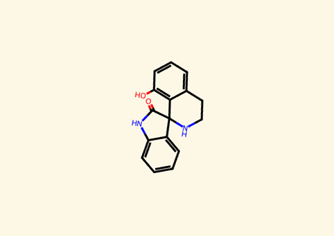 O=C1Nc2ccccc2C12NCCc1cccc(O)c12